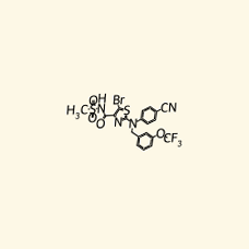 CS(=O)(=O)NC(=O)c1nc(N(Cc2cccc(OC(F)(F)F)c2)c2ccc(C#N)cc2)sc1Br